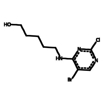 OCCCCCNc1nc(Cl)ncc1Br